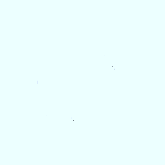 CCc1cc(Cn2cccn2)cc2onc(N)c12